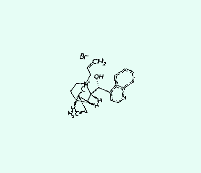 C=CC[N+]12CC[C@@H](C[C@H]1[C@H](O)c1ccnc3ccccc13)[C@@H](C=C)C2.[Br-]